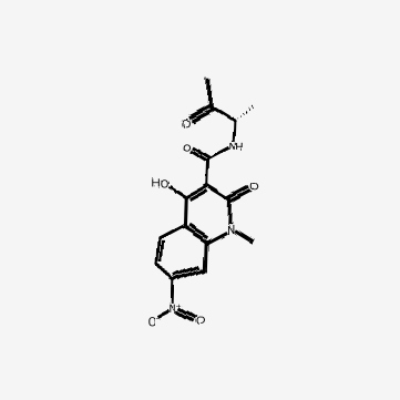 CC(=O)[C@H](C)NC(=O)c1c(O)c2ccc([N+](=O)[O-])cc2n(C)c1=O